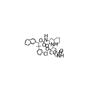 CC(C)(c1cccc(Cl)c1)C(OC(=O)N[C@@H](CC1CCCCC1)C(=O)NC(C[C@@H]1CCNC1=O)C(=O)C(=O)O)c1ccc2ccccc2c1